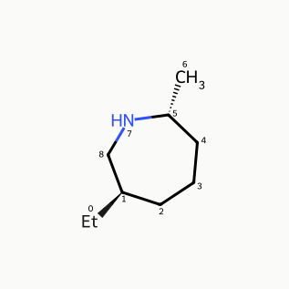 CC[C@@H]1CCC[C@@H](C)NC1